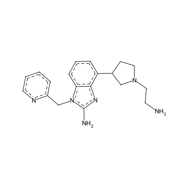 NCCN1CCC(c2cccc3c2nc(N)n3Cc2ccccn2)C1